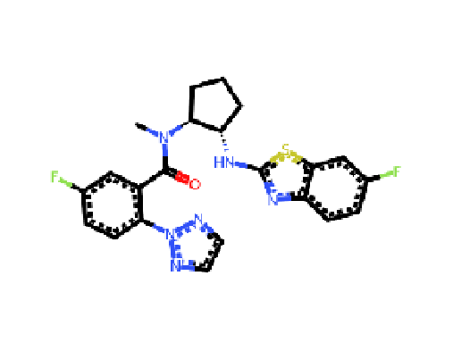 CN(C(=O)c1cc(F)ccc1-n1nccn1)[C@H]1CCC[C@@H]1Nc1nc2ccc(F)cc2s1